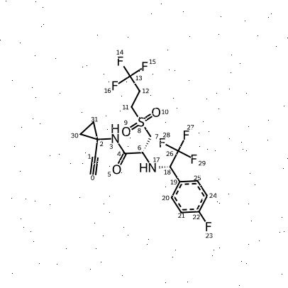 C#CC1(NC(=O)[C@H](CS(=O)(=O)CCC(F)(F)F)N[C@@H](c2ccc(F)cc2)C(F)(F)F)CC1